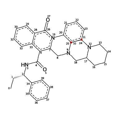 CC[C@H](NC(=O)c1c(CN2CCN3CCCCC3C2)n(-c2ccccc2)c(=O)c2ccccc12)c1ccccc1